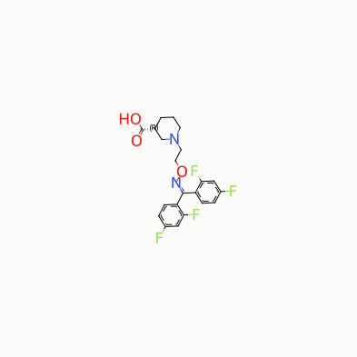 O=C(O)[C@@H]1CCCN(CCON=C(c2ccc(F)cc2F)c2ccc(F)cc2F)C1